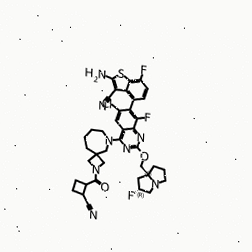 N#Cc1c(N)sc2c(F)ccc(-c3c(Cl)cc4c(N5CCCCC6(CN(C(=O)C7CCC7C#N)C6)C5)nc(OC[C@@]56CCCN5C[C@H](F)C6)nc4c3F)c12